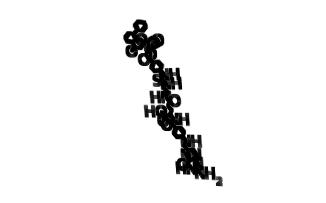 Nc1nc2ncc(CNc3ccc(C(=O)NC(CCC(=O)NCCNC(=S)Nc4ccc(C(=O)OC[N+]5(c6cc(=O)c7cccc(-c8ccccc8)c7o6)CCOCC5)cc4)C(=O)O)cc3)nc2c(=O)[nH]1